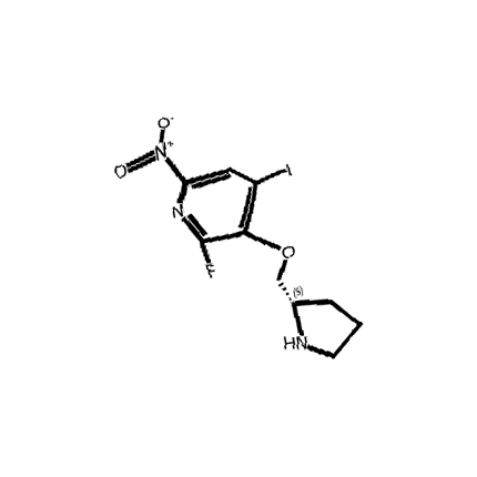 O=[N+]([O-])c1cc(I)c(OC[C@@H]2CCCN2)c(F)n1